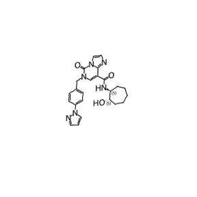 O=C(N[C@H]1CCCCC[C@@H]1O)c1cn(Cc2ccc(-n3cccn3)cc2)c(=O)n2ccnc12